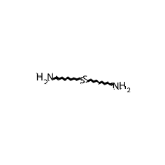 NCCCCCCCCCCSSCCCCCCCCCCN